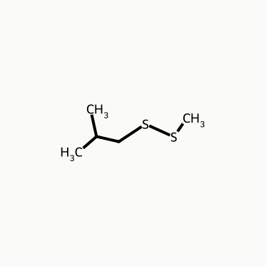 CSSCC(C)C